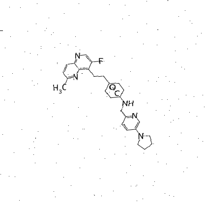 Cc1ccc2ncc(F)c(CCC34CCC(NCc5ccc(N6CCCC6)cn5)(CC3)CO4)c2n1